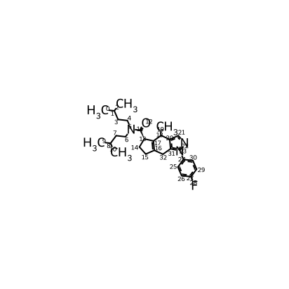 CC(C)CCN(CCC(C)C)C(=O)[C@@H]1CCC2=C1[C@@H](C)c1cnn(-c3ccc(F)cc3)c1C2